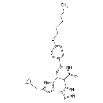 CCCCCCOc1ccc(-c2cc(-c3ccn(CC4CC4)n3)c(-c3nnn[nH]3)c(=O)[nH]2)cc1